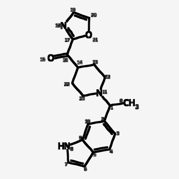 CC(c1ccc2cc[nH]c2c1)N1CCC(C(=O)c2ncco2)CC1